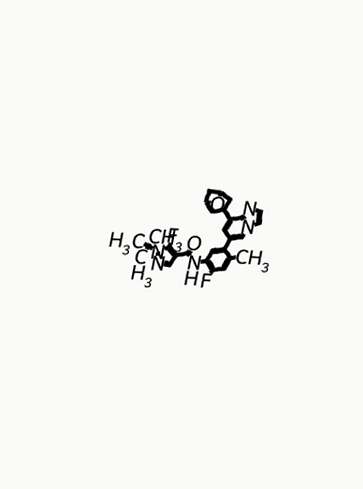 Cc1cc(F)c(NC(=O)c2cnn(C(C)(C)C)c2F)cc1-c1cc(C2CC3CC(C2)O3)c2nccn2c1